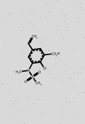 C=Cc1cc(C(=O)O)c(Cl)c(N(C)S(C)(=O)=O)c1